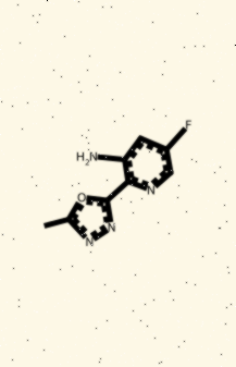 Cc1nnc(-c2ncc(F)cc2N)o1